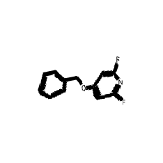 Fc1cc(OCc2ccccc2)cc(F)n1